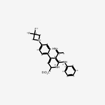 CCOC(=O)C1C=C(c2ccc(N3CC(F)(F)C3)cc2)C(C(C)=N)=C(Nc2ccccc2)N1